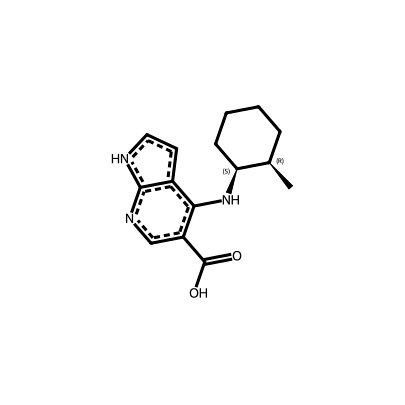 C[C@@H]1CCCC[C@@H]1Nc1c(C(=O)O)cnc2[nH]ccc12